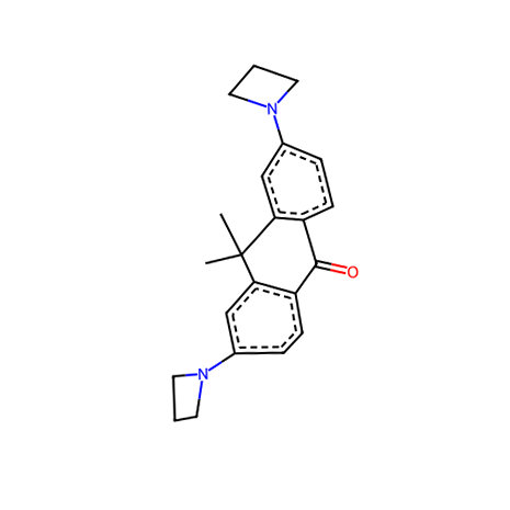 CC1(C)c2cc(N3CCC3)ccc2C(=O)c2ccc(N3CCC3)cc21